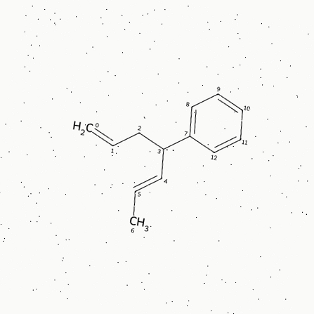 C=CC[C](C=CC)c1ccccc1